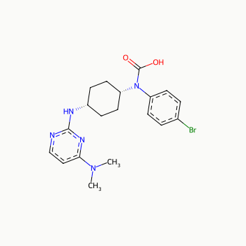 CN(C)c1ccnc(N[C@H]2CC[C@@H](N(C(=O)O)c3ccc(Br)cc3)CC2)n1